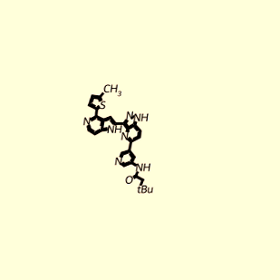 Cc1ccc(-c2nccc3[nH]c(-c4n[nH]c5ccc(-c6cncc(NC(=O)CC(C)(C)C)c6)nc45)cc23)s1